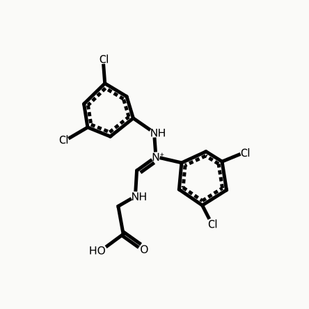 O=C(O)CNC=[N+](Nc1cc(Cl)cc(Cl)c1)c1cc(Cl)cc(Cl)c1